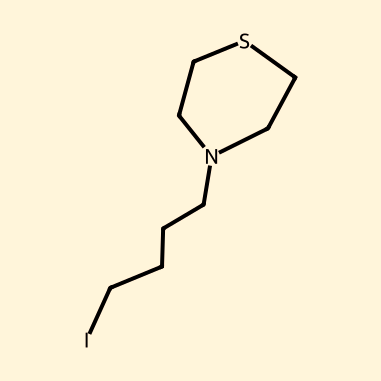 ICCCCN1CCSCC1